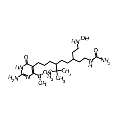 CC(C)(C)C(CCCc1c(B(O)O)nc(N)[nH]c1=O)CCC(CCNO)CCNC(N)=O